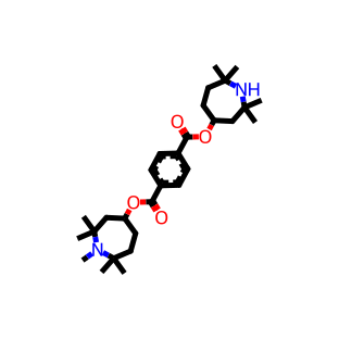 CN1C(C)(C)CCC(OC(=O)c2ccc(C(=O)OC3CCC(C)(C)NC(C)(C)C3)cc2)CC1(C)C